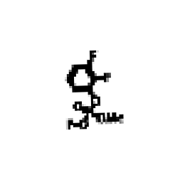 COP(=O)(OF)Oc1cccc(F)c1F